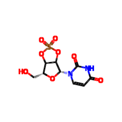 O=c1ccn([C@@H]2O[C@H](CO)C3OS(=O)(=O)OC32)c(=O)[nH]1